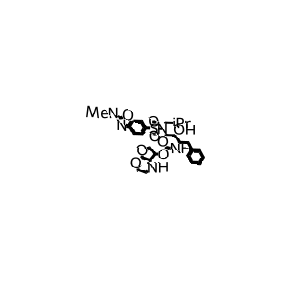 CNc1nc2ccc(S(=O)(=O)N(CC(C)C)CC(O)C(Cc3ccccc3)NC(=O)OC3COC4OCCNC34)cc2o1